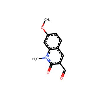 COc1ccc2cc(C=O)c(=O)n(C)c2c1